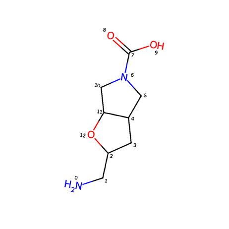 NCC1CC2CN(C(=O)O)CC2O1